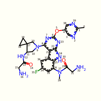 Cc1ncc(Oc2nc(N3CC(NC(=O)CN)C4(CC4)C3)c3c(n2)[nH]c2c(N(C)C(=O)CN)cc(F)cc23)cn1